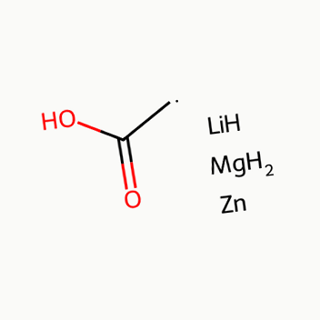 [CH2]C(=O)O.[LiH].[MgH2].[Zn]